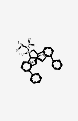 CC[N](CC)[Zr]([N](CC)CC)[Sn]([CH3])([CH2]C1C(C)=Cc2c(-c3ccccc3)cccc21)[CH]1C(C)=Cc2c(-c3ccccc3)cccc21